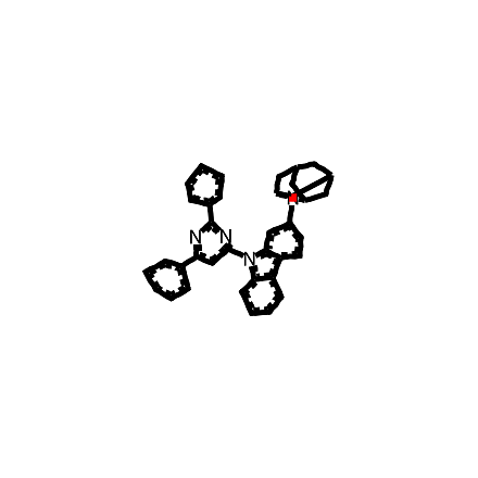 c1ccc(-c2cc(-n3c4ccccc4c4ccc(N5C6CC7CC(C6)CC5C7)cc43)nc(-c3ccccc3)n2)cc1